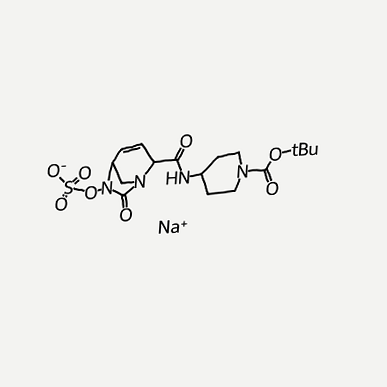 CC(C)(C)OC(=O)N1CCC(NC(=O)C2C=CC3CN2C(=O)N3OS(=O)(=O)[O-])CC1.[Na+]